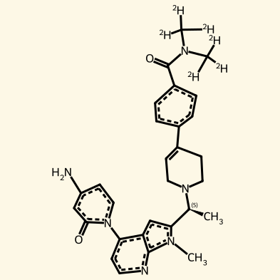 [2H]C([2H])([2H])N(C(=O)c1ccc(C2=CCN([C@@H](C)c3cc4c(-n5ccc(N)cc5=O)ccnc4n3C)CC2)cc1)C([2H])([2H])[2H]